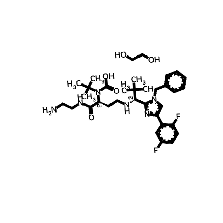 CC(C)(C)[C@@H](NCC[C@@H](C(=O)NCCN)N(C(=O)O)C(C)(C)C)c1nc(-c2cc(F)ccc2F)cn1Cc1ccccc1.OCCO